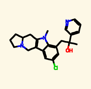 Cn1c2c(c3cc(Cl)cc(CC(C)(O)c4cccnc4)c31)CN1CCCC1C2